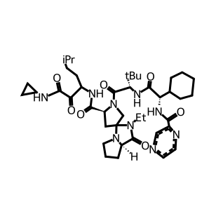 CCN1C(=O)[C@H]2CCCN2C12C[C@@H](C(=O)NC(CCC(C)C)C(=O)C(=O)NC1CC1)N(C(=O)[C@@H](NC(=O)[C@@H](NC(=O)c1cnccn1)C1CCCCC1)C(C)(C)C)C2